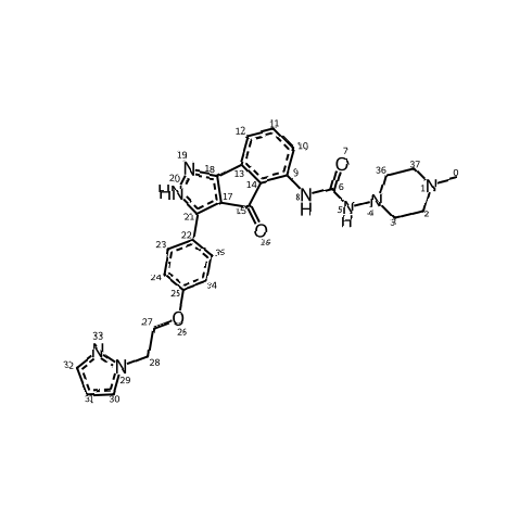 CN1CCN(NC(=O)Nc2cccc3c2C(=O)c2c-3n[nH]c2-c2ccc(OCCn3cccn3)cc2)CC1